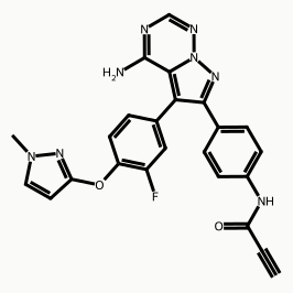 C#CC(=O)Nc1ccc(-c2nn3ncnc(N)c3c2-c2ccc(Oc3ccn(C)n3)c(F)c2)cc1